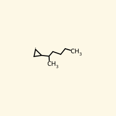 CCCCC(C)C1[CH]C1